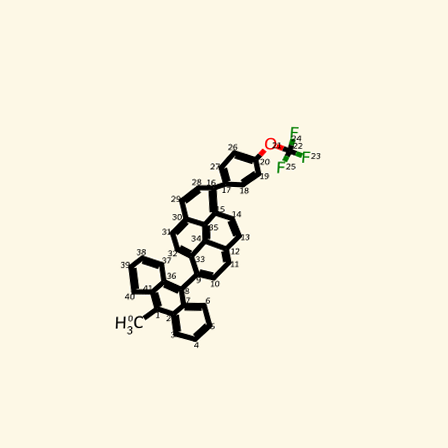 Cc1c2ccccc2c(-c2ccc3ccc4c(-c5ccc(OC(F)(F)F)cc5)ccc5ccc2c3c54)c2ccccc12